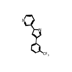 FC(F)(F)c1cccc(C2=CC(c3cccnc3)N=C2)c1